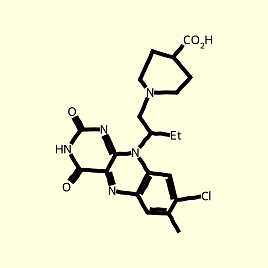 CCC(CN1CCC(C(=O)O)CC1)n1c2nc(=O)[nH]c(=O)c-2nc2cc(C)c(Cl)cc21